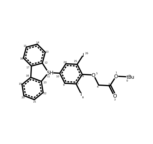 CC(C)(C)OC(=O)COc1c(I)cc([SH]2c3ccccc3-c3ccccc32)cc1I